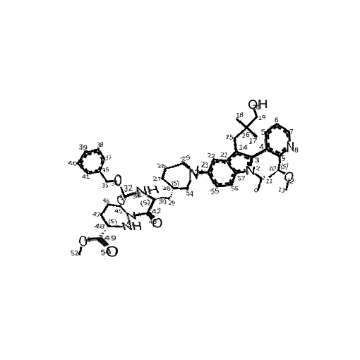 CCn1c(-c2cccnc2[C@H](C)OC)c(CC(C)(C)CO)c2cc(N3CCC[C@@H](C[C@H](NC(=O)OCc4ccccc4)C(=O)N4CCC[C@@H](C(=O)OC)N4)C3)ccc21